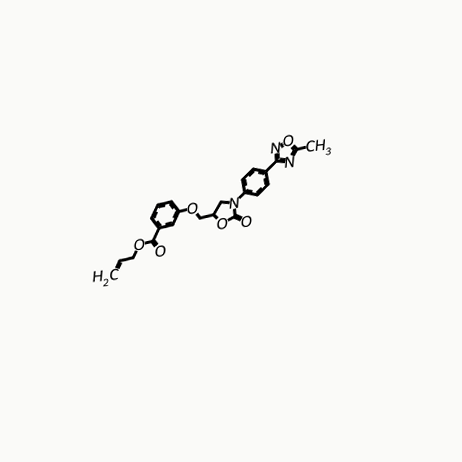 C=CCOC(=O)c1cccc(OCC2CN(c3ccc(-c4noc(C)n4)cc3)C(=O)O2)c1